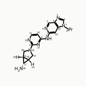 CC(C)n1cnc2cnc(Nc3ccnc(N4C[C@@H]5[C@H](N)[C@@H]5C4)n3)cc21